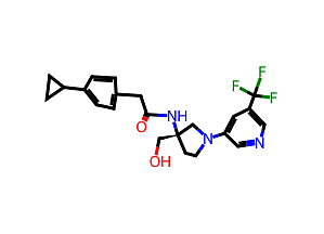 O=C(Cc1ccc(C2CC2)cc1)N[C@@]1(CO)CCN(c2cncc(C(F)(F)F)c2)C1